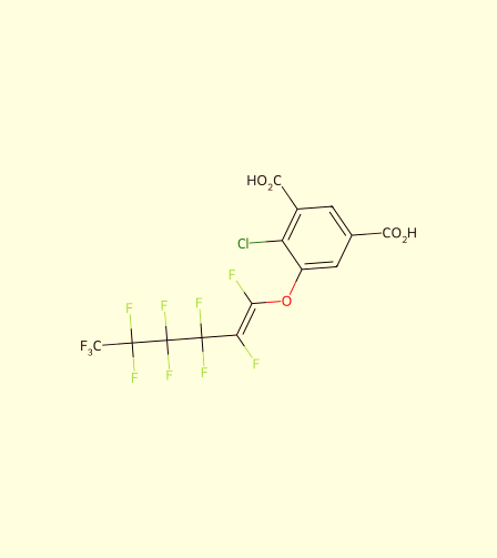 O=C(O)c1cc(OC(F)=C(F)C(F)(F)C(F)(F)C(F)(F)C(F)(F)F)c(Cl)c(C(=O)O)c1